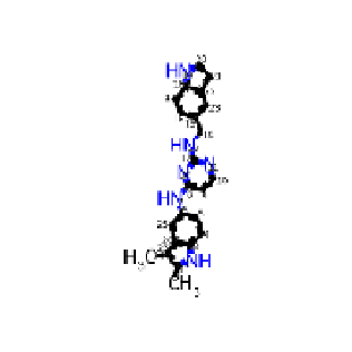 Cc1[nH]c2ccc(Nc3ccnc(NCc4ccc5[nH]ccc5c4)n3)cc2c1C